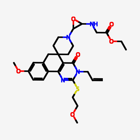 C=CCn1c(SCCOC)nc2c(c1=O)C1(CCN(C3OC3NCC(=O)OCC)CC1)Cc1cc(OC)ccc1-2